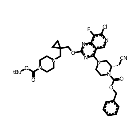 CC(C)(C)OC(=O)N1CCN(CC2(COc3nc(N4CCN(C(=O)OCc5ccccc5)[C@@H](CC#N)C4)c4cnc(Cl)c(F)c4n3)CC2)CC1